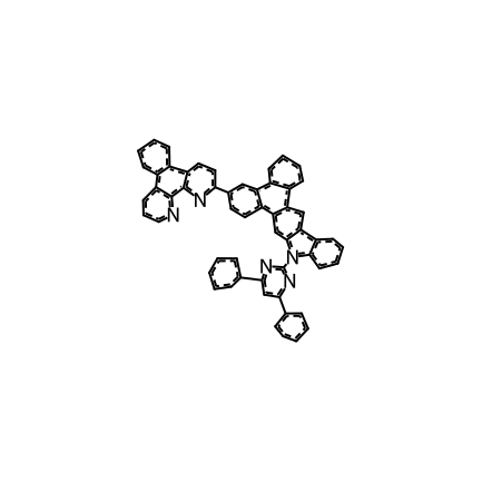 c1ccc(-c2cc(-c3ccccc3)nc(-n3c4ccccc4c4cc5c6ccccc6c6cc(-c7ccc8c9ccccc9c9cccnc9c8n7)ccc6c5cc43)n2)cc1